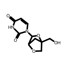 O=c1ccn(C2OC3(CO)COC2C3)c(=O)[nH]1